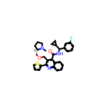 CN1CCC[C@H]1COCc1c(-c2cccs2)nc2ccccc2c1C(=O)NC(c1cccc(F)c1)C1CC1